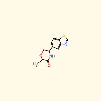 CC1OCC(c2ccc3scnc3c2)NC1=O